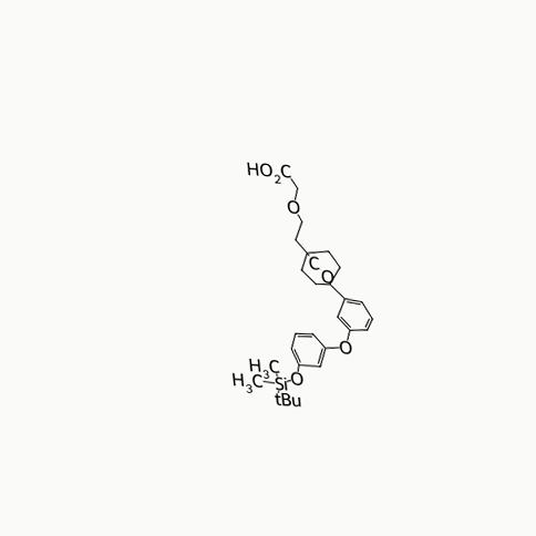 CC(C)(C)[Si](C)(C)Oc1cccc(Oc2cccc(C34CCC(CCOCC(=O)O)(CC3)CO4)c2)c1